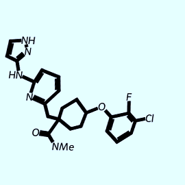 CNC(=O)C1(Cc2cccc(Nc3cc[nH]n3)n2)CCC(Oc2cccc(Cl)c2F)CC1